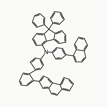 c1ccc(C2(c3ccccc3)c3ccccc3-c3c(N(c4ccc(-c5ccccc5-c5ccc6c(ccc7ccccc76)c5)cc4)c4ccc(-c5cccc6ccccc56)cc4)cccc32)cc1